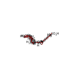 CC(C)C(NC(=O)[C@H](N)CCCCNC(=O)COC1CCCCCc2c1nnn2CCOCCOCCOCCOCCC(=O)NCCS(=O)(=O)O)C(=O)N[C@@H](C)C(=O)Nc1ccc2c(c1)[C@@]1(C)CCC[C@](C)(C(=O)NC(=O)[C@@]3(C)CCC[C@]4(C)c5cc(O)ccc5CC[C@@H]34)[C@@H]1CC2